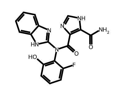 NC(=O)c1[nH]cnc1C(=O)N(c1nc2ccccc2[nH]1)c1c(O)cccc1F